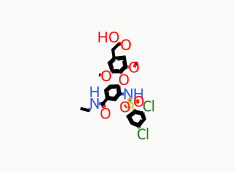 CCNC(=O)c1ccc(Oc2c(OC)cc(CC(=O)O)cc2OC)c(NS(=O)(=O)c2ccc(Cl)cc2Cl)c1